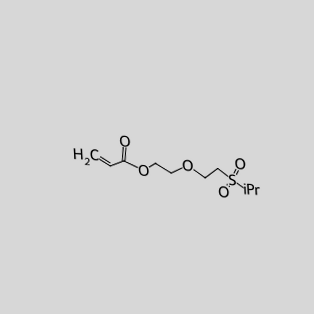 C=CC(=O)OCCOCCS(=O)(=O)C(C)C